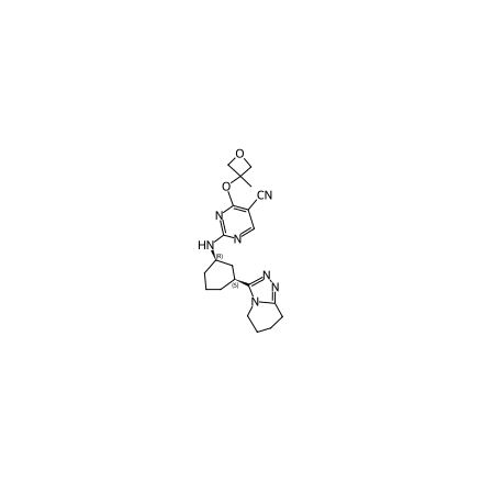 CC1(Oc2nc(N[C@@H]3CCC[C@H](c4nnc5n4CCCC5)C3)ncc2C#N)COC1